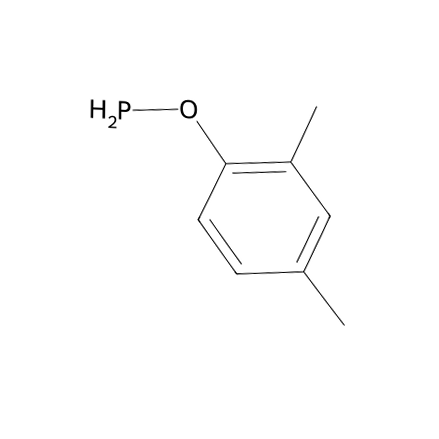 Cc1ccc(OP)c(C)c1